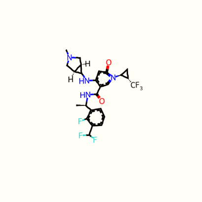 C[C@@H](NC(=O)c1cn([C@H]2C[C@@H]2C(F)(F)F)c(=O)cc1NC1[C@H]2CN(C)C[C@@H]12)c1cccc(C(F)F)c1F